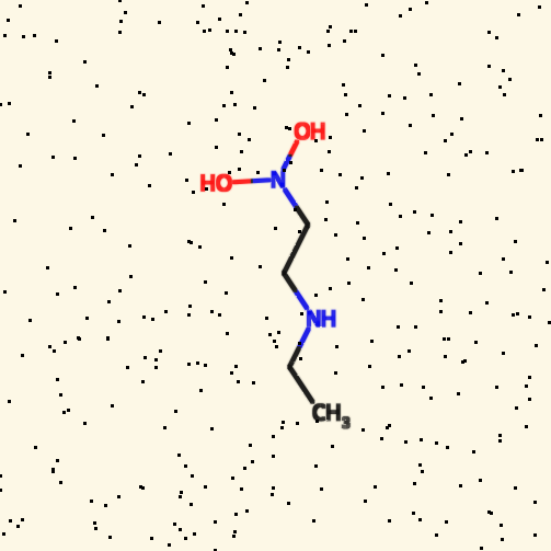 CCNCCN(O)O